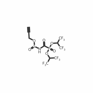 C#CCOS(=O)NC(=O)P(=O)(OC(C(F)(F)F)C(F)(F)F)OC(C(F)(F)F)C(F)(F)F